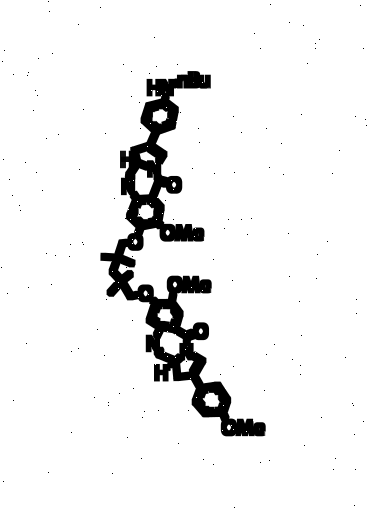 CCCCNc1ccc(C2=CN3C(=O)c4cc(OC)c(OCC(C)(C)CC(C)(C)COc5cc6c(cc5OC)C(=O)N5C=C(c7ccc(OC)cc7)C[C@H]5C=N6)cc4N=C[C@@H]3C2)cc1